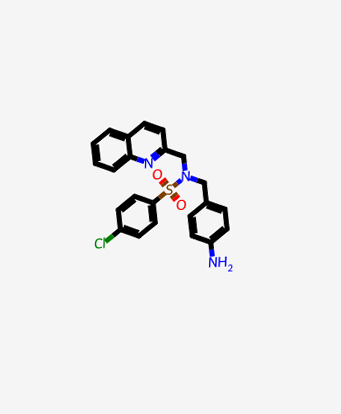 Nc1ccc(CN(Cc2ccc3ccccc3n2)S(=O)(=O)c2ccc(Cl)cc2)cc1